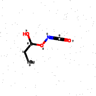 CCCCCB(O)ON=C=O